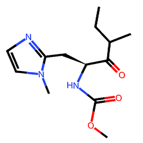 CCC(C)C(=O)[C@H](Cc1nccn1C)NC(=O)OC